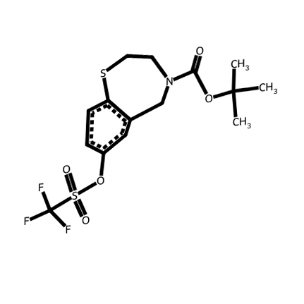 CC(C)(C)OC(=O)N1CCSc2ccc(OS(=O)(=O)C(F)(F)F)cc2C1